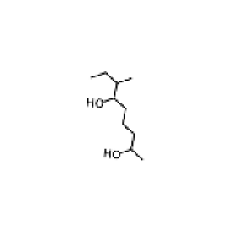 CCC(C)C(O)CCCC(C)O